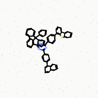 c1ccc(C2(c3ccccc3)c3ccccc3-c3cccc(-c4nc(-c5ccc(-c6cccc7ccccc67)cc5)nc(-c5ccc(-c6cccc7c6sc6ccccc67)cc5)n4)c32)cc1